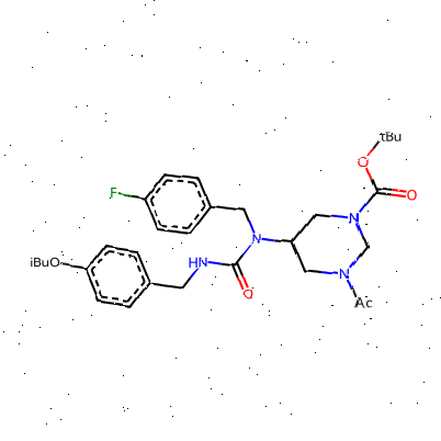 CC(=O)N1CC(N(Cc2ccc(F)cc2)C(=O)NCc2ccc(OCC(C)C)cc2)CN(C(=O)OC(C)(C)C)C1